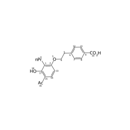 CCCc1c(OCCc2ccc(C(=O)O)cc2)ccc(C(C)=O)c1O